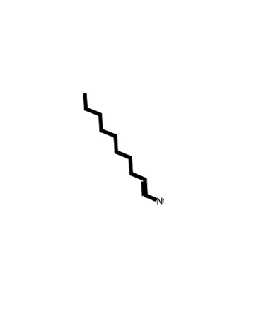 CCCCCCCC/C=C/[N]